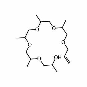 C=CCOCC(C)OCC(C)OCC(C)OCC(C)OCC(C)O